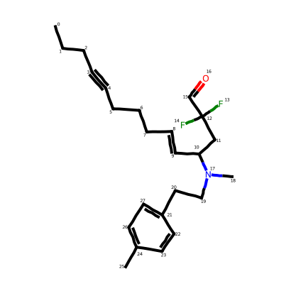 CCCC#CCCC/C=C/C(CC(F)(F)C=O)N(C)CCc1ccc(C)cc1